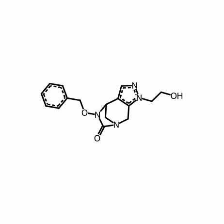 O=C1N2Cc3c(cnn3CCO)C(C2)N1OCc1ccccc1